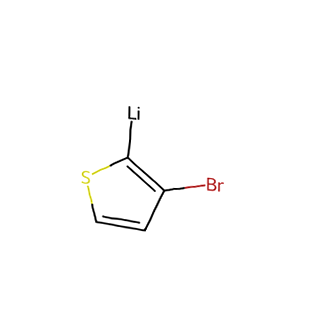 [Li][c]1sccc1Br